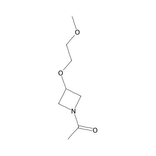 COCCOC1CN(C(C)=O)C1